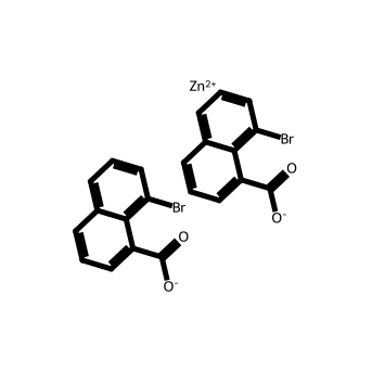 O=C([O-])c1cccc2cccc(Br)c12.O=C([O-])c1cccc2cccc(Br)c12.[Zn+2]